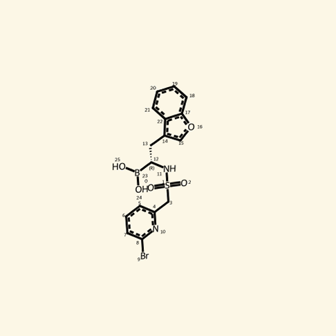 O=S(=O)(Cc1cccc(Br)n1)N[C@@H](Cc1coc2ccccc12)B(O)O